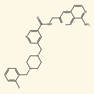 C=C(/C=c1/ccnc(N)/c1=C/C)CNC(=O)c1cncc(CN2CCN(Cc3ccccc3F)CC2)c1